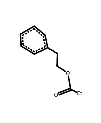 CCC(=O)OCCc1cc[c]cc1